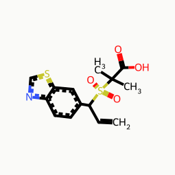 C=CC(c1ccc2ncsc2c1)S(=O)(=O)C(C)(C)C(=O)O